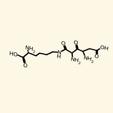 NC(CC(=O)O)C(=O)C(N)C(=O)NCCCC[C@H](N)C(=O)O